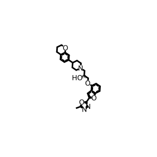 Cc1nnc(-c2cc3c(OC[C@@H](O)CN4CCC(c5ccc6c(c5)OCCC6)CC4)cccc3o2)o1